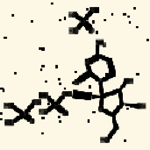 C#C[C@@]1(n2ccc(N)nc2=O)O[C@H](CO)[C@@H](O)[C@H]1O.O=P(O)(O)O.O=P(O)(O)O.O=P(O)(O)O